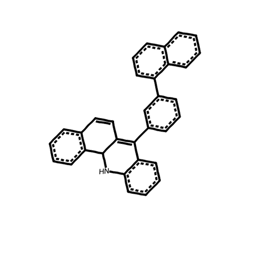 C1=Cc2ccccc2C2Nc3ccccc3C(c3cccc(-c4cccc5ccccc45)c3)=C12